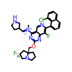 C/[N+](=C\C1CCNC1)c1nc(OC[C@@]23CCCN2C[C@H](F)C3)nc2c(F)c(-c3cccc4cccc(Cl)c34)ncc12